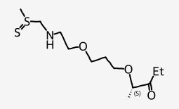 CCC(=O)[C@H](C)OCCCOCCNCS(C)=S